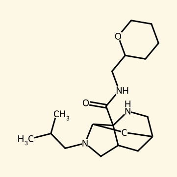 CC(C)CN1CC2CC3CNC2(C(=O)NCC2CCCCO2)C1C3